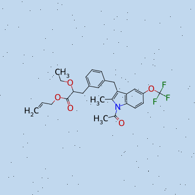 C=CCOC(=O)C(Cc1cccc(Cc2c(C)n(C(C)=O)c3ccc(OC(F)(F)F)cc23)c1)OCC